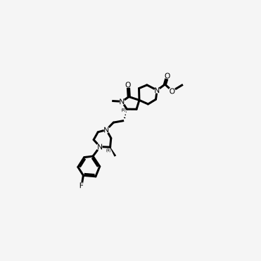 COC(=O)N1CCC2(CC1)C[C@H](CCN1CCN(c3ccc(F)cc3)[C@H](C)C1)N(C)C2=O